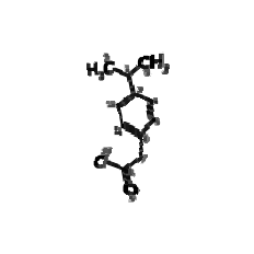 CC(C)c1ccc(CC(=O)Cl)cc1